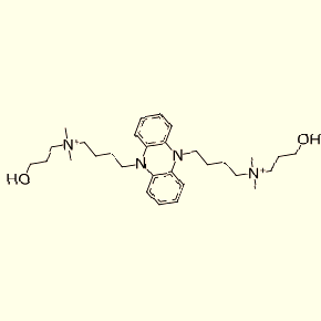 C[N+](C)(CCCO)CCCCN1c2ccccc2N(CCCC[N+](C)(C)CCCO)c2ccccc21